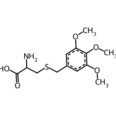 COc1cc(CSCC(N)C(=O)O)cc(OC)c1OC